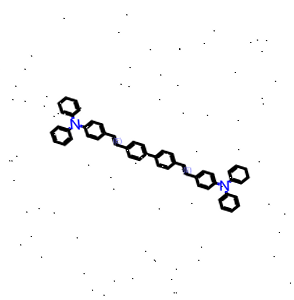 C1=CC(N(c2ccccc2)c2ccc(/C=C/c3ccc(-c4ccc(/C=C/c5ccc(N(C6=CCCC=C6)c6ccccc6)cc5)cc4)cc3)cc2)=CCC1